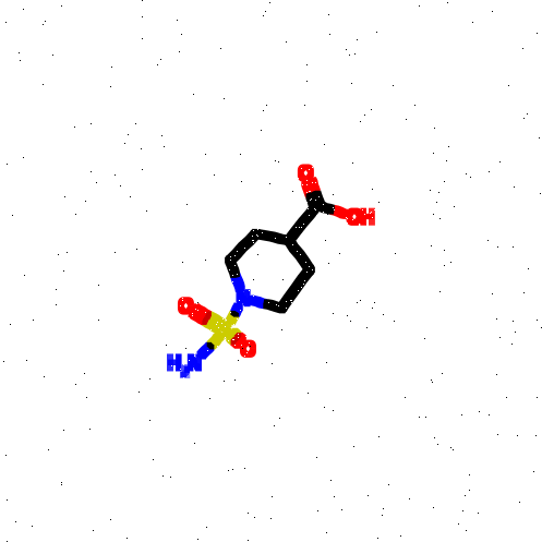 NS(=O)(=O)N1CCC(C(=O)O)CC1